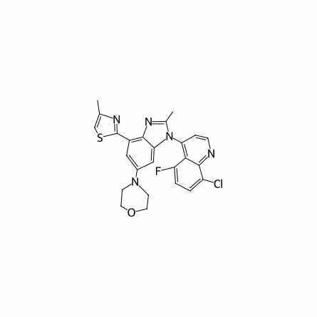 Cc1csc(-c2cc(N3CCOCC3)cc3c2nc(C)n3-c2ccnc3c(Cl)ccc(F)c23)n1